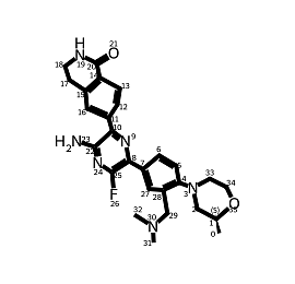 C[C@H]1CN(c2ccc(-c3nc(-c4ccc5c(c4)CCNC5=O)c(N)nc3F)cc2CN(C)C)CCO1